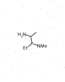 CCP(NC)C(C)N